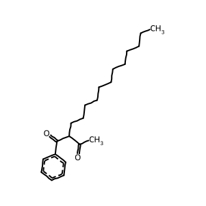 CCCCCCCCCCCCC(C(C)=O)C(=O)c1ccccc1